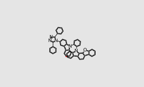 c1ccc(-c2nnc(-c3ccccc3)n2-c2ccc3c(c2)c2ccccc2n3-c2ccccc2-n2c3ccccc3c3ccc4c5ccccc5oc4c32)cc1